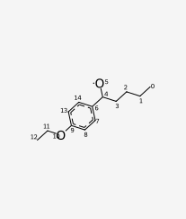 CCCCC([O])c1ccc(OCC)cc1